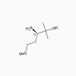 CSCC[C@@H](N)C(C)(C)O